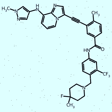 Cc1ccc(C(=O)Nc2ccc(CN3CCC(C)(F)CC3)c(C(F)(F)F)c2)cc1C#Cc1cnc2c(Nc3cnn(C)c3)cccn12